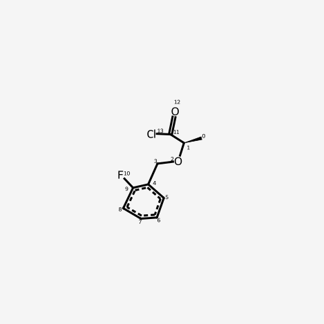 C[C@@H](OCc1ccccc1F)C(=O)Cl